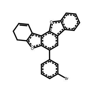 Brc1cccc(-c2cc3c4ccccc4oc3c3c4c(oc23)CCC=C4)c1